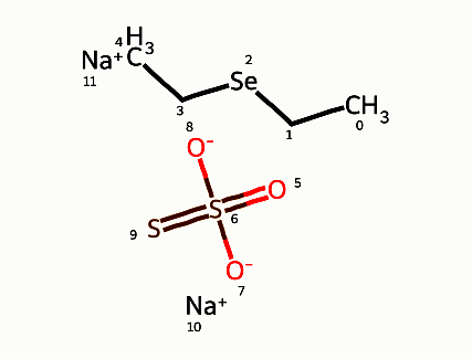 CC[Se]CC.O=S([O-])([O-])=S.[Na+].[Na+]